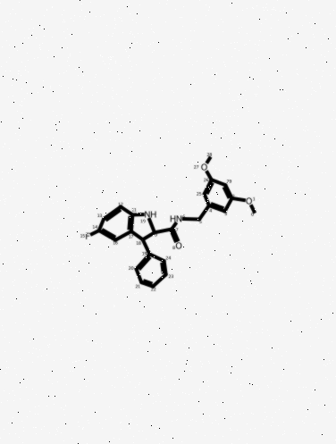 COc1cc(CNC(=O)C2Nc3ccc(F)cc3C2c2ccccc2)cc(OC)c1